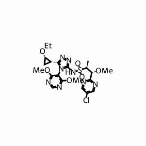 CCO[C@H]1C[C@H]1c1nnc(NS(=O)(=O)[C@@H](C)[C@H](OC)c2ncc(Cl)cn2)n1-c1c(OC)ncnc1OC